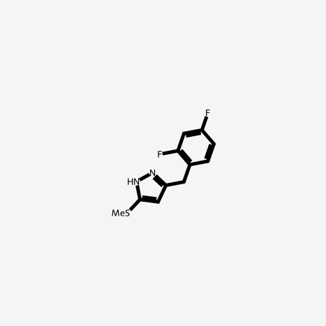 CSc1cc(Cc2ccc(F)cc2F)n[nH]1